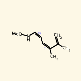 C=C(C)/C(C)=C\C=C/NOC